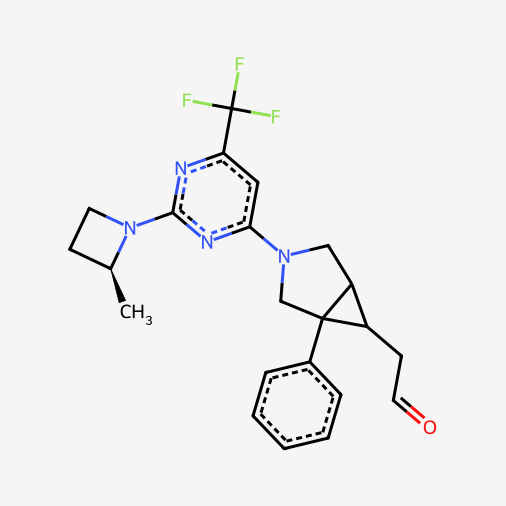 C[C@H]1CCN1c1nc(N2CC3C(CC=O)C3(c3ccccc3)C2)cc(C(F)(F)F)n1